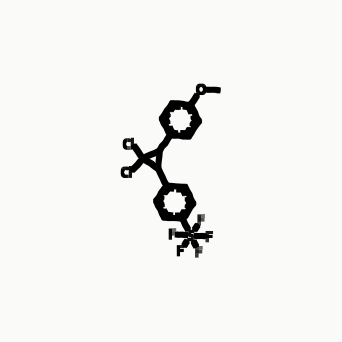 COc1ccc(C2C(c3ccc(S(F)(F)(F)(F)F)cc3)C2(Cl)Cl)cc1